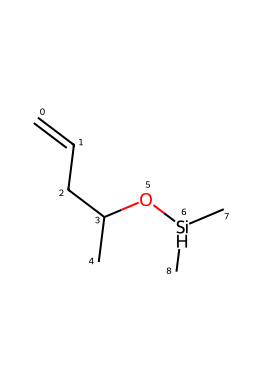 C=CCC(C)O[SiH](C)C